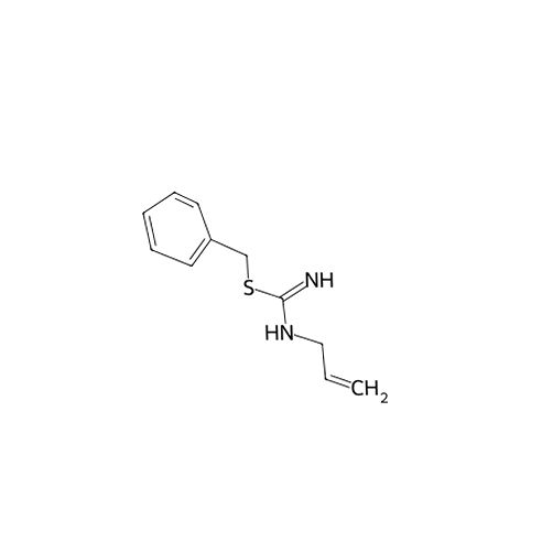 C=CCNC(=N)SCc1ccccc1